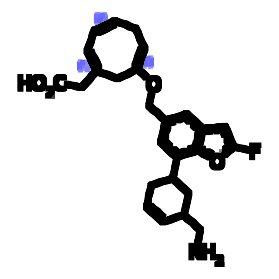 NCC1C=CCC(c2cc(CO/C3=C/C/C=C\C=C(\CC(=O)O)C3)cc3cc(F)oc23)C1